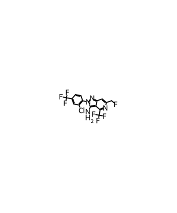 Nc1c2c(C(F)(F)F)nc(CF)cc2nn1-c1ccc(C(F)(F)F)cc1Cl